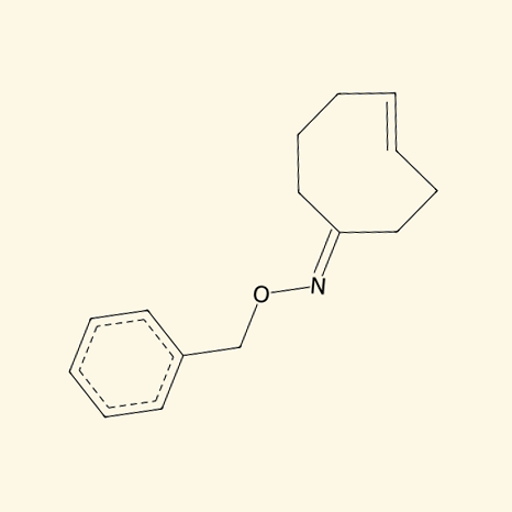 C1=C/CC/C(=N/OCc2ccccc2)CCC/1